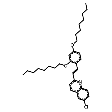 CCCCCCCCOc1ccc(C=Cc2ccc3cc(Cl)ccc3n2)c(OCCCCCCCC)c1